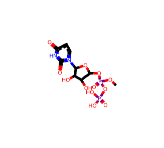 COP(=O)(OC1OC(n2ccc(=O)[nH]c2=O)C(O)C1O)OP(=O)(O)O